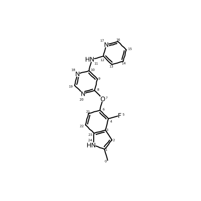 Cc1cc2c(F)c(Oc3cc(Nc4ccccn4)ncn3)ccc2[nH]1